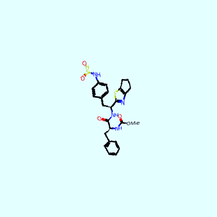 COC(=O)N[C@@H](Cc1ccccc1)C(=O)N[C@@H](Cc1ccc(N[SH](=O)=O)cc1)c1nc2c(s1)CCC2